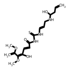 C=CCC(O)NC/C=C/NC(=S)NC(=O)/C=C/C(O)=C(/OC)C(=C)OC